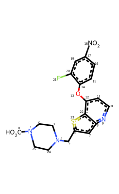 O=C(O)N1CCN(Cc2cc3nccc(Oc4ccc([N+](=O)[O-])cc4F)c3s2)CC1